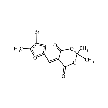 Cc1oc(C=C2C(=O)OC(C)(C)OC2=O)cc1Br